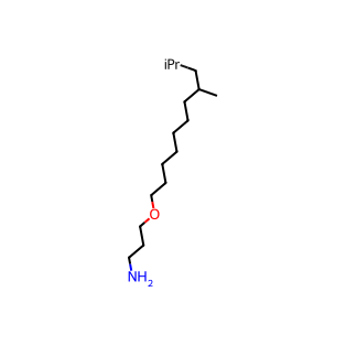 CC(C)CC(C)CCCCCCCOCCCN